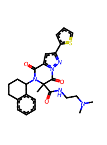 CN(C)CCNC(=O)C1(C)C(=O)n2nc(-c3cccs3)cc2C(=O)N1C1CCCc2ccccc21